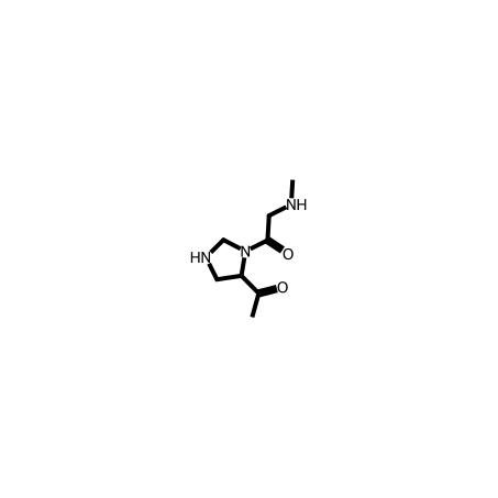 CNCC(=O)N1CNCC1C(C)=O